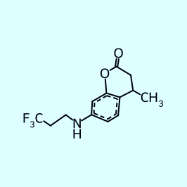 CC1CC(=O)Oc2cc(NCCC(F)(F)F)ccc21